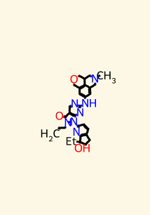 C=CCn1c(=O)c2cnc(Nc3cc4c5c(c3)CN(C)CC5COC4)nc2n1-c1ccc2c(n1)C(O)(CC)CC2